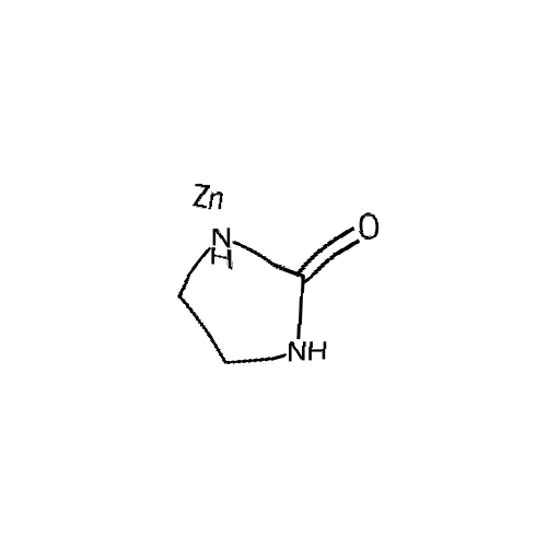 O=C1NCCN1.[Zn]